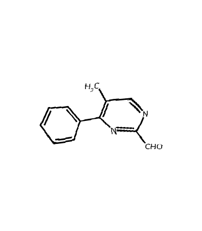 Cc1cnc(C=O)nc1-c1ccccc1